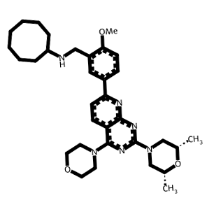 COc1ccc(-c2ccc3c(N4CCOCC4)nc(N4C[C@@H](C)O[C@@H](C)C4)nc3n2)cc1CNC1CCCCCCC1